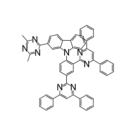 Cc1nc(C)nc(-c2ccc3c4ccccc4n(-c4ccc(-c5nc(-c6ccccc6)cc(-c6ccccc6)n5)cc4-c4nc(-c5ccccc5)cc(-c5ccccc5)n4)c3c2)n1